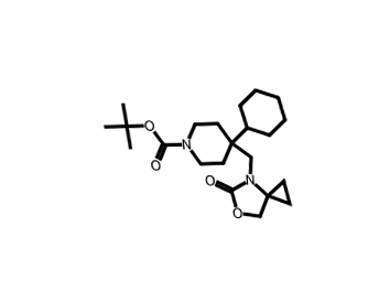 CC(C)(C)OC(=O)N1CCC(CN2C(=O)OCC23CC3)(C2CCCCC2)CC1